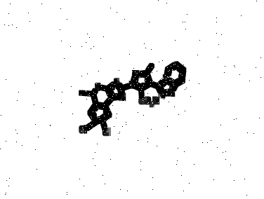 Cc1nn(-c2nc3c(s2)SC(C)c2cc(Cl)c(Cl)cc2-3)c(C(=O)O)c1-c1nnc2ccccn12